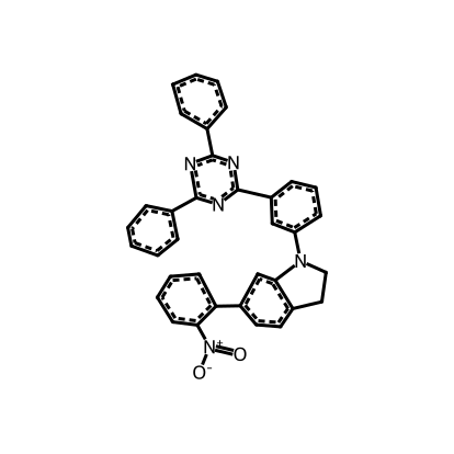 O=[N+]([O-])c1ccccc1-c1ccc2c(c1)N(c1cccc(-c3nc(-c4ccccc4)nc(-c4ccccc4)n3)c1)CC2